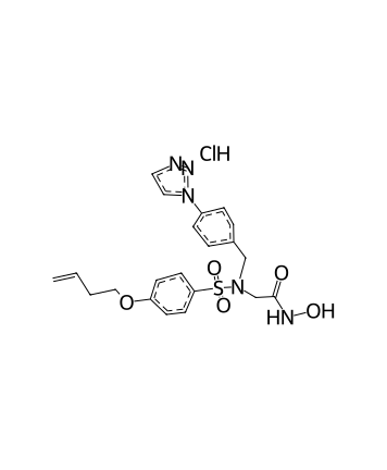 C=CCCOc1ccc(S(=O)(=O)N(CC(=O)NO)Cc2ccc(-n3ccnn3)cc2)cc1.Cl